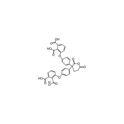 O=C1CCC(c2ccc(Oc3cccc(C(=O)O)c3C(=O)O)cc2)(c2ccc(Oc3cccc(C(=O)O)c3C(=O)O)cc2)C(=O)O1